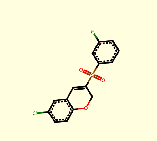 O=S(=O)(C1=Cc2cc(Cl)ccc2OC1)c1cccc(F)c1